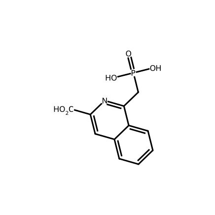 O=C(O)c1cc2ccccc2c(CP(=O)(O)O)n1